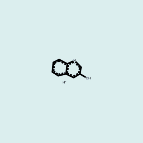 Oc1cnc2ccccc2c1.[H+]